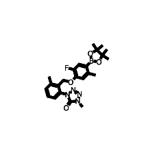 Cc1cc(OCc2c(C)cccc2-n2nnn(C)c2=O)c(F)cc1B1OC(C)(C)C(C)(C)O1